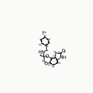 CC1(NCc2ccc(F)cc2)COc2ccc3c(c2O1)CC(=O)N3